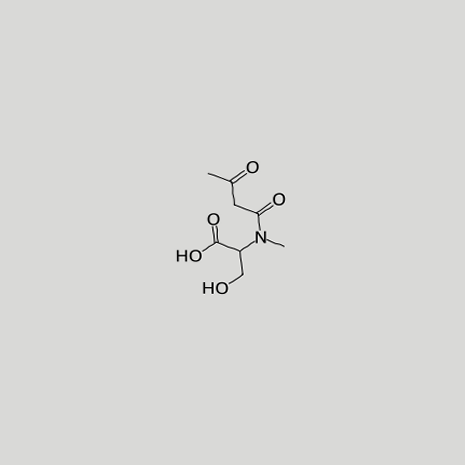 CC(=O)CC(=O)N(C)C(CO)C(=O)O